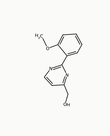 COc1ccccc1-c1nccc(CO)n1